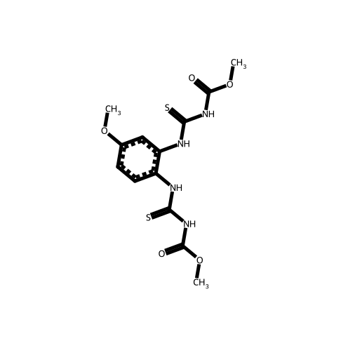 COC(=O)NC(=S)Nc1ccc(OC)cc1NC(=S)NC(=O)OC